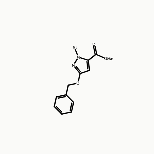 CCn1nc(OCc2ccccc2)cc1C(=O)OC